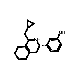 Oc1cccc([C@@H]2CC3=C(CCCC3)C(CC3CC3)N2)c1